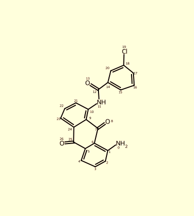 Nc1cccc2c1C(=O)c1c(NC(=O)c3cccc(Cl)c3)cccc1C2=O